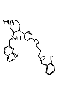 Fc1ccccc1COCCCOc1ccc(C2CCNCC2NCc2ccc3cccnc3c2)cc1